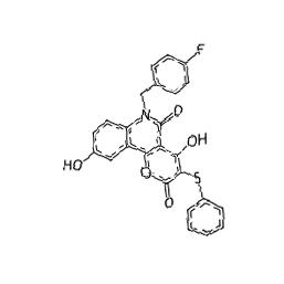 O=c1oc2c(c(O)c1Sc1ccccc1)c(=O)n(Cc1ccc(F)cc1)c1ccc(O)cc21